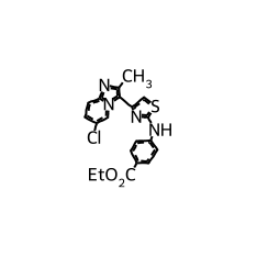 CCOC(=O)c1ccc(Nc2nc(-c3c(C)nc4ccc(Cl)cn34)cs2)cc1